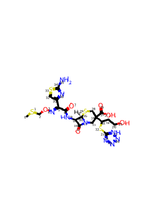 CSCON=C(C(=O)NC1C(=O)N2CC(C(=O)O)(C(CCO)Sc3nnn[nH]3)CS[C@H]12)c1csc(N)n1